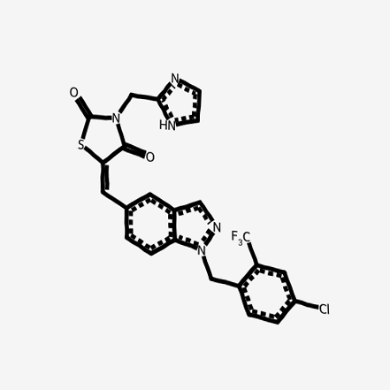 O=C1SC(=Cc2ccc3c(cnn3Cc3ccc(Cl)cc3C(F)(F)F)c2)C(=O)N1Cc1ncc[nH]1